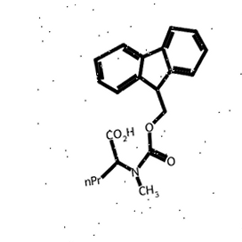 CCCC(C(=O)O)N(C)C(=O)OCC1c2ccccc2-c2ccccc21